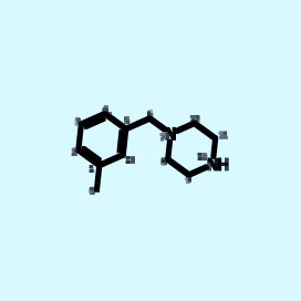 Cc1cc[c]c(CN2CCNCC2)c1